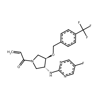 C=CC(=O)N1C[C@@H](Nc2ncc(F)cn2)[C@H](OCc2ccc(C(F)(F)F)cc2)C1